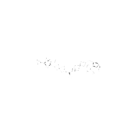 Cn1ncc(CC2CC3(C2)CN(C(=O)N2CC4(CC(c5nc(C6CC6)n[nH]5)C4)C2)C3)c1C(F)(F)F